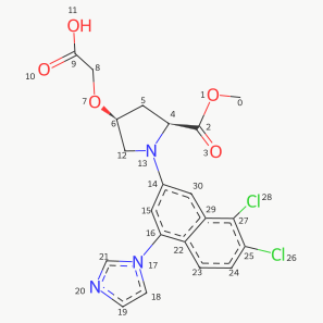 COC(=O)[C@@H]1C[C@H](OCC(=O)O)CN1c1cc(-n2ccnc2)c2ccc(Cl)c(Cl)c2c1